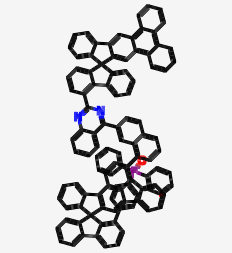 O=P(c1ccccc1)(c1ccccc1)c1ccc(-c2cccc3c2C2(c4ccccc4-3)c3ccccc3-c3c2cc2c4c(c(-c5cccc6ccc(-c7nc(-c8cccc9c8-c8ccccc8C98c9ccccc9-c9cc%10c%11ccccc%11c%11ccccc%11c%10cc98)nc8ccccc78)cc56)ccc34)-c3ccccc3-2)cc1